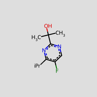 CC(C)c1nc(C(C)(C)O)ncc1F